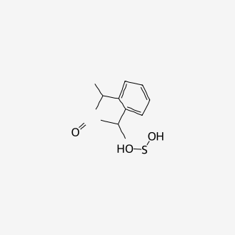 C=O.CC(C)c1ccccc1C(C)C.OSO